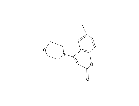 Cc1ccc2oc(=O)cc(N3CCOCC3)c2c1